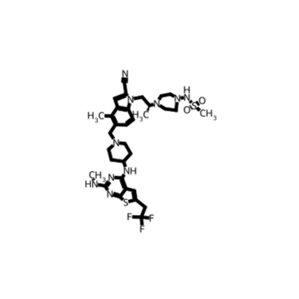 CNc1nc(NC2CCN(Cc3ccc4c(cc(C#N)n4C[C@H](C)N4CCN(NS(C)(=O)=O)CC4)c3C)CC2)c2cc(CC(F)(F)F)sc2n1